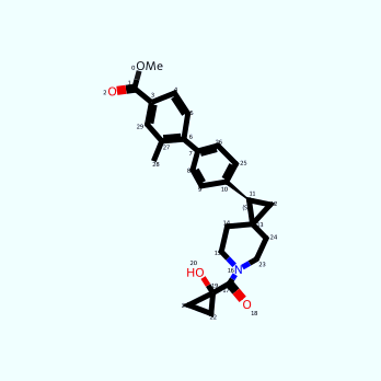 COC(=O)c1ccc(-c2ccc([C@H]3CC34CCN(C(=O)C3(O)CC3)CC4)cc2)c(C)c1